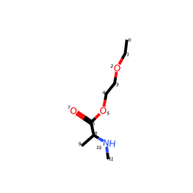 CCOCCOC(=O)C(C)NC